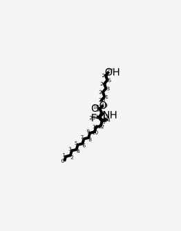 CCCCCCCCCCCCCc1c[nH]c(C(=O)OCCCCCCCO)c1F